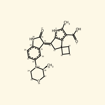 Cc1[nH]c2c(c1C(=O)O)C1(CCC1)C/C2=C1/C(=O)Nc2ccc(N3CCOC[C@@H]3C)cc21